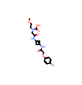 COCCN(CC(=O)NC12CC(NC(=O)COc3ccc(Cl)cc3)(C1)C2)C(=O)O